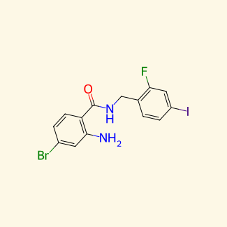 Nc1cc(Br)ccc1C(=O)NCc1ccc(I)cc1F